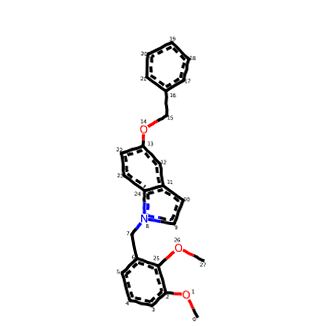 COc1cccc(Cn2ccc3cc(OCc4ccccc4)ccc32)c1OC